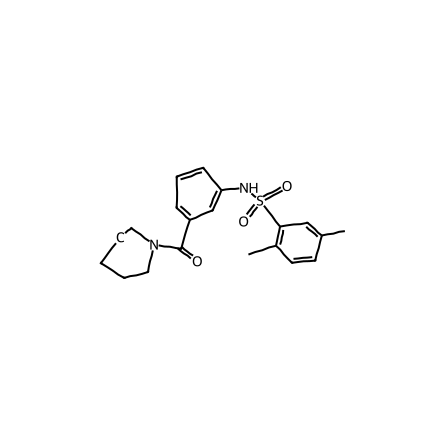 Cc1ccc(C)c(S(=O)(=O)Nc2cccc(C(=O)N3CCCCC3)c2)c1